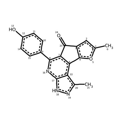 Cc1cc2c(o1)-c1c(c(-c3ccc(O)cc3)nc3[nH]nc(C)c13)C2=O